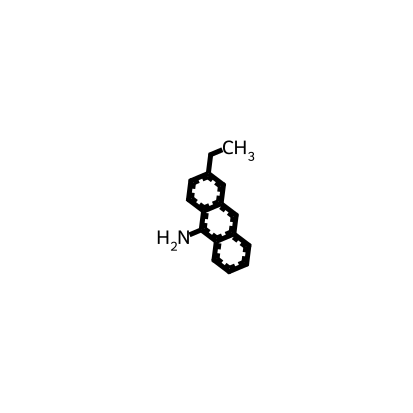 CCc1ccc2c(N)c3ccccc3cc2c1